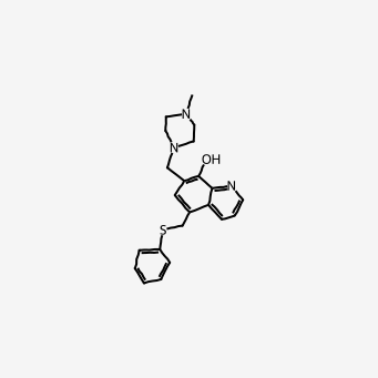 CN1CCN(Cc2cc(CSc3ccccc3)c3cccnc3c2O)CC1